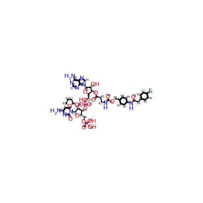 Nc1ccn([C@@H]2O[C@H](COP(=O)(O)O)[C@@H](OP(=O)(O)OCC3O[C@@H](n4cnc5c(N)ncnc54)[C@H](O)[C@@H]3OC(=O)CCNC(=O)OCc3ccc(NC(=O)Cc4ccc(F)cc4)cc3)[C@H]2OC2CCCO2)c(=O)n1